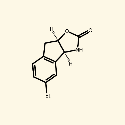 CCc1ccc2c(c1)[C@@H]1NC(=O)O[C@@H]1C2